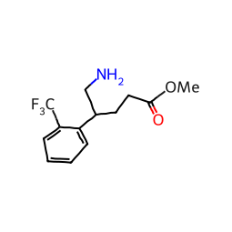 COC(=O)CCC(CN)c1ccccc1C(F)(F)F